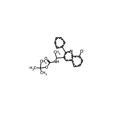 CC(NC(=O)OC(C)(C)C)c1cc2cccc(Cl)c2nc1-c1ccccc1